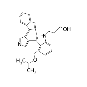 CC(C)OCc1cccc2c1c1c3c(c4c(c1n2CCCO)=Cc1ccccc1-4)C=NC=3